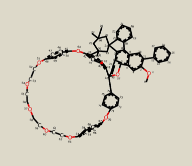 COc1cc2c3c(c4c(c2cc1-c1ccccc1)-c1ccccc1C41CC(C)(C)CC(C)(C)C1)C=CC1(O3)c2ccc(cc2)Oc2ccc(cc2)OCCOCCOCCOCCOc2ccc(cc2)Oc2ccc1cc2